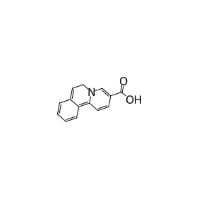 O=C(O)C1=CN2CC=c3ccccc3=C2C=C1